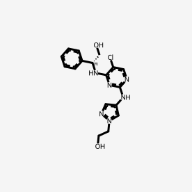 OCCn1cc(Nc2ncc(Cl)c(N[C@@H](CO)c3ccccc3)n2)cn1